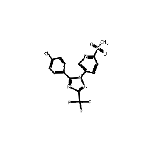 CS(=O)(=O)c1ccc(-n2nc(C(F)(F)F)nc2-c2ccc(Cl)cc2)cn1